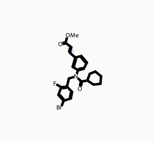 COC(=O)/C=C/c1cccc(N(Cc2ccc(Br)cc2F)C(=O)C2CCCCC2)c1